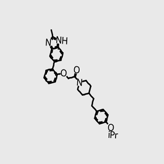 Cc1nc2cc(-c3ccccc3OCC(=O)N3CCC(CCc4ccc(OC(C)C)cc4)CC3)ccc2[nH]1